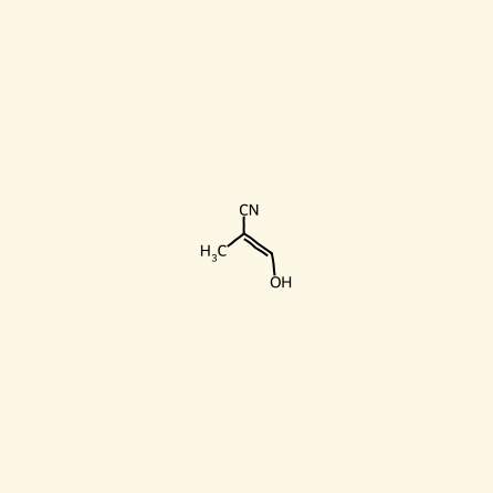 CC(C#N)=CO